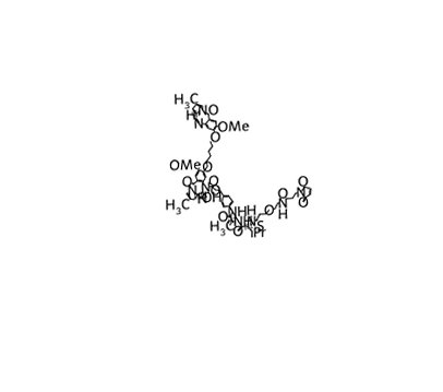 COc1cc2c(cc1OCCCCCOc1cc3c(cc1OC)C(=O)N1C=C(C)C[C@H]1[C@H](O)N3C(=O)OCc1ccc(NC(=O)[C@H](C)NC(=O)[C@@H](NC(=S)CCOCCNC(=O)CCN3C(=O)C=CC3=O)C(C)C)cc1)N=C[C@@H]1CC(C)=CN1C2=O